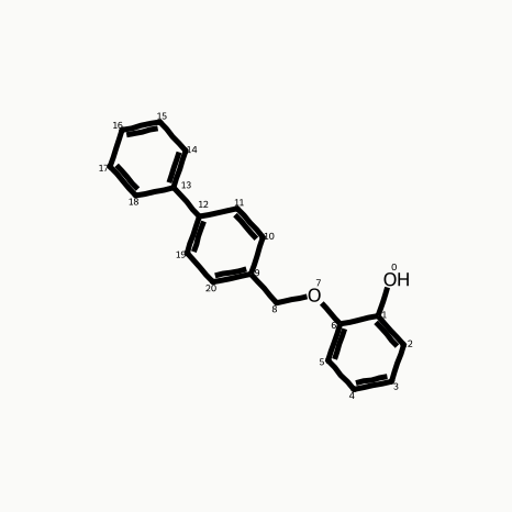 Oc1ccccc1OCc1ccc(-c2ccccc2)cc1